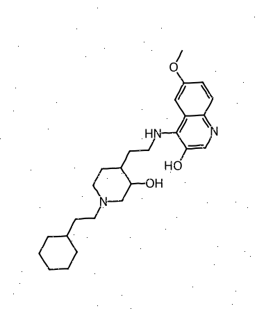 COc1ccc2ncc(O)c(NCCC3CCN(CCC4CCCCC4)CC3O)c2c1